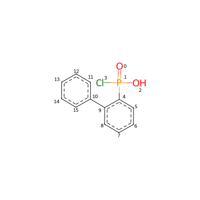 O=P(O)(Cl)c1ccccc1-c1ccccc1